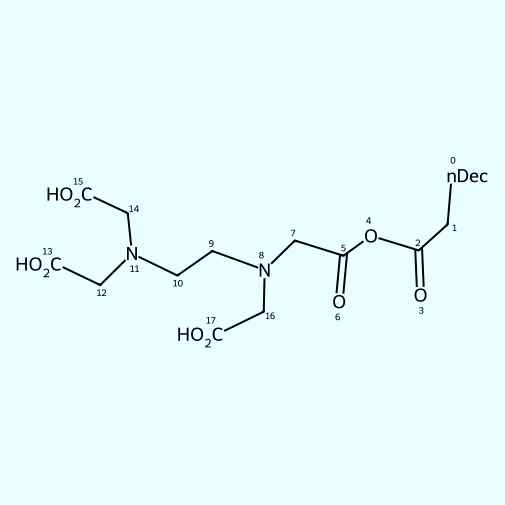 CCCCCCCCCCCC(=O)OC(=O)CN(CCN(CC(=O)O)CC(=O)O)CC(=O)O